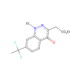 CCOC(=O)Cc1nn(CC)c2cc(C(C)(F)F)ccc2c1=O